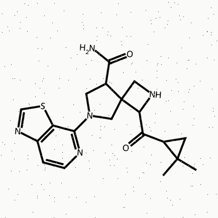 CC1(C)CC1C(=O)C1NCC12CN(c1nccc3ncsc13)CC2C(N)=O